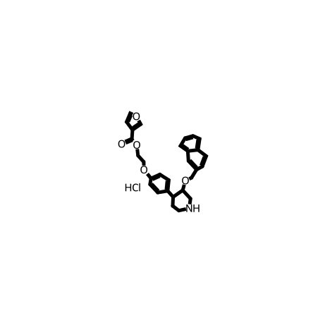 Cl.O=C(OCCOc1ccc(C2CCNCC2OCc2ccc3ccccc3c2)cc1)c1ccoc1